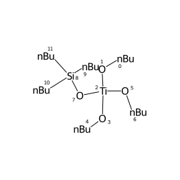 CCCC[O][Ti]([O]CCCC)([O]CCCC)[O][Si](CCCC)(CCCC)CCCC